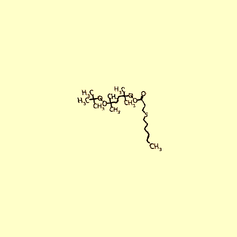 CCCCCCSCCC(=O)OOC(C)(C)CCC(C)(C)OOC(C)(C)C